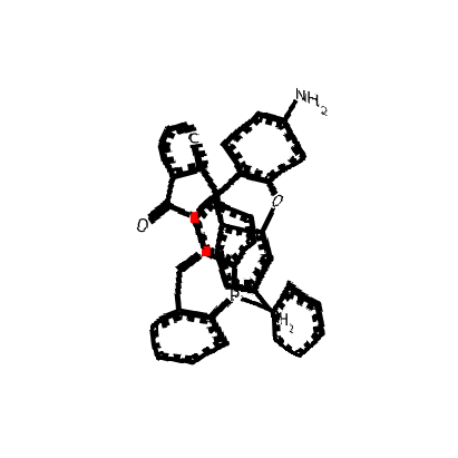 Nc1ccc2c(c1)Oc1cc(N)ccc1C21c2ccccc2C(=O)N1/N=C/c1ccccc1P(c1ccccc1)c1ccccc1